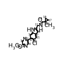 COc1cnc(-c2cc3[nH]c(CNC(=O)C4(C)CC4)cc3cc2Cl)cn1